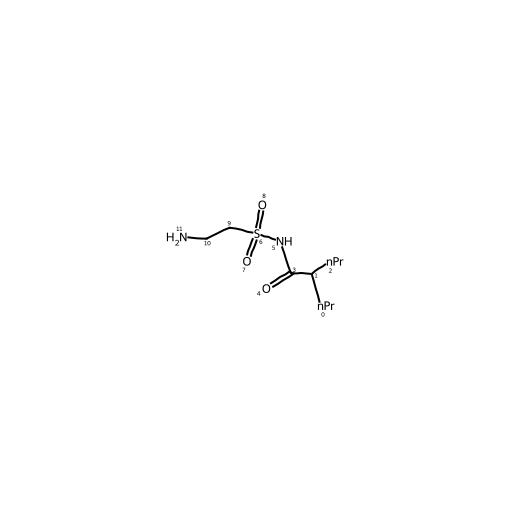 CCCC(CCC)C(=O)NS(=O)(=O)CCN